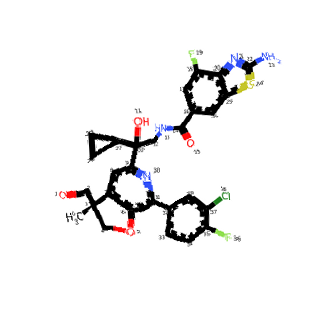 C[C@]1(C=O)COc2c1cc(C(O)(CNC(=O)c1cc(F)c3nc(N)sc3c1)C1CC1)nc2-c1ccc(F)c(Cl)c1